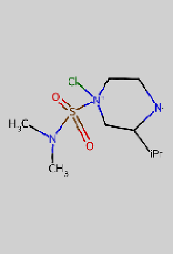 CC(C)C1C[N+](Cl)(S(=O)(=O)N(C)C)CC[N]1